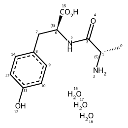 C[C@H](N)C(=O)N[C@@H](Cc1ccc(O)cc1)C(=O)O.O.O.O